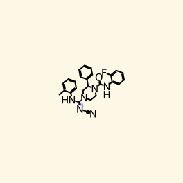 Cc1ccccc1N/C(=N/C#N)N1CCN(C(=O)Nc2ccccc2F)C(c2ccccc2)C1